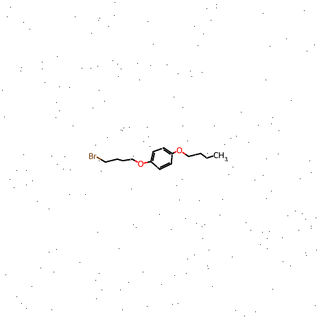 CCCCOc1ccc(OCCCCBr)cc1